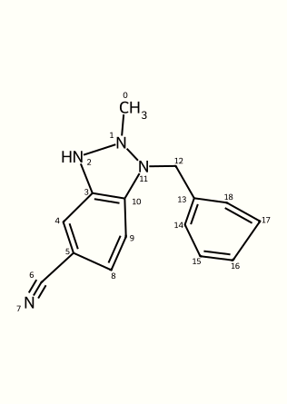 CN1Nc2cc(C#N)ccc2N1Cc1ccccc1